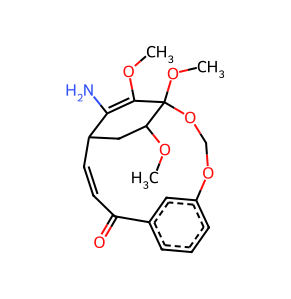 COC1=C(N)C2C=CC(=O)c3cccc(c3)OCOC1(OC)C(OC)C2